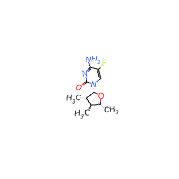 CC1[C@@H](C)O[C@@H](n2cc(F)c(N)nc2=O)[C@H]1C